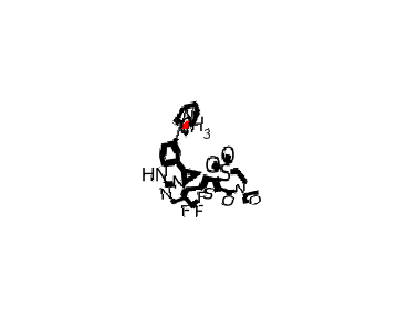 CN1C2CC1CN(c1ccc(Nc3ncc(C(F)(F)F)c(-c4cc5c(s4)C(=O)N(C4COC4)CCS5(=O)=O)n3)c(C3CC3)c1)C2